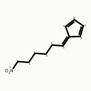 O=[N+]([O-])CCCCCC=C1C=CC=C1